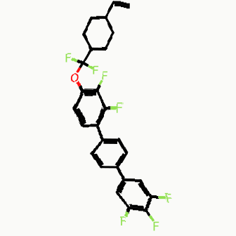 C=CC1CCC(C(F)(F)Oc2ccc(-c3ccc(-c4cc(F)c(F)c(F)c4)cc3)c(F)c2F)CC1